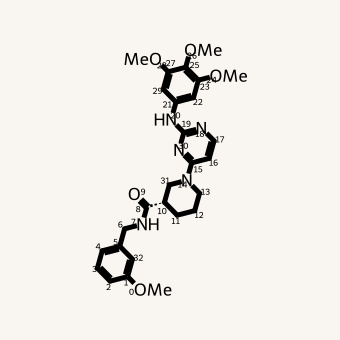 COc1cccc(CNC(=O)[C@H]2CCCN(c3ccnc(Nc4cc(OC)c(OC)c(OC)c4)n3)C2)c1